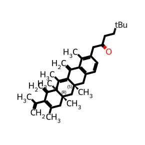 C=C(C)C1=C(C)C[C@@]2(C)C[C@@]3(C)Cc4ccc(CC(=O)CCC(C)(C)C)c(C)c4C(=C)C3=C(C)[C@@]2(C)C1=C